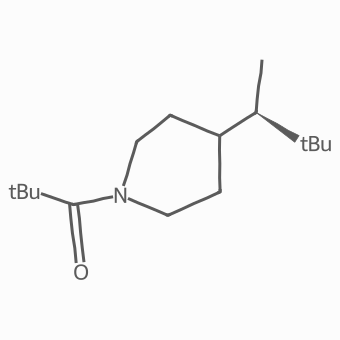 C[C@H](C1CCN(C(=O)C(C)(C)C)CC1)C(C)(C)C